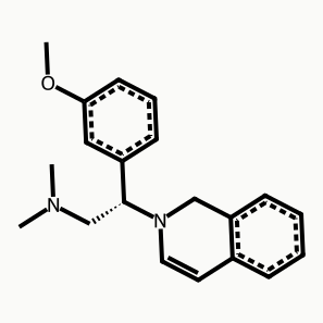 COc1cccc([C@@H](CN(C)C)N2C=Cc3ccccc3C2)c1